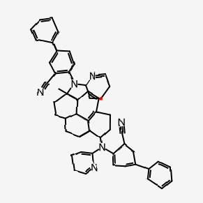 CC1(N(c2ccc(-c3ccccc3)cc2C#N)C2CCCC=N2)CCC2CCC3C4=C(C=CC1C42)CCC3N(C1=CCCC=N1)C1=CC=C(c2ccccc2)CC1C#N